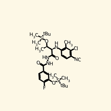 [C-]#[N+]c1ccc(N[C@@H](C(=O)NNC(=O)c2ccc(F)c(O[Si](C)(C)C(C)(C)C)c2)[C@@H](C)O[Si](C)(C)C(C)(C)C)c(C)c1Cl